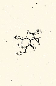 CCNC(=O)C(CC(C)C)C1(C(N)=O)CC1